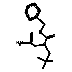 CC(C)(C)CN(CC(N)=O)C(=O)OCc1ccccc1